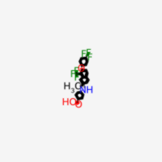 C[C@@H](N[C@H]1CC[C@@H](C(=O)O)CC1)c1ccc2ccc(O[C@H]3CC[C@@H](C(F)(F)F)CC3)c(C(F)(F)F)c2c1